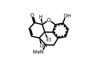 CC[C@]12c3c4ccc(O)c3O[C@H]1C(=O)C=C[C@@]2(O)[C@H](NC)C4